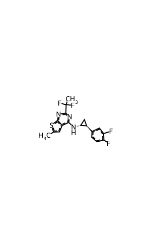 Cc1cc2c(N[C@@H]3C[C@H]3c3ccc(F)c(F)c3)nc(C(C)(F)F)nc2s1